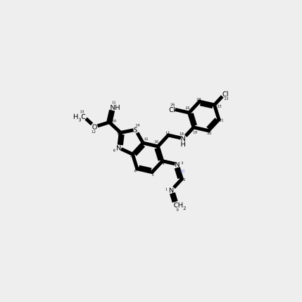 C=N/C=N\c1ccc2nc(C(=N)OC)sc2c1CNc1ccc(Cl)cc1Cl